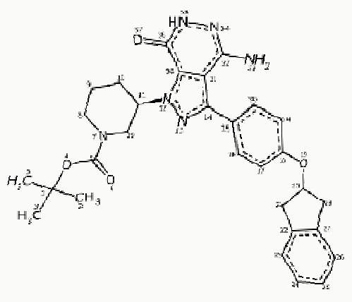 CC(C)(C)OC(=O)N1CCC[C@@H](n2nc(-c3ccc(OC4Cc5ccccc5C4)cc3)c3c(N)n[nH]c(=O)c32)C1